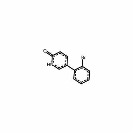 O=c1ccc(-c2ccccc2Br)c[nH]1